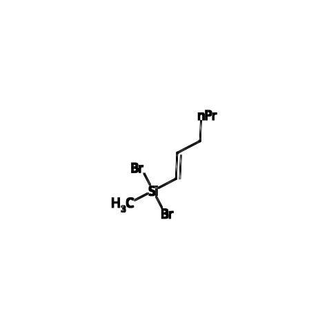 CCCCC=C[Si](C)(Br)Br